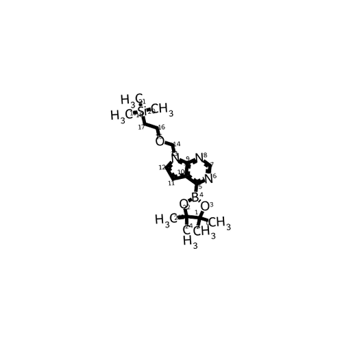 CC1(C)OB(c2ncnc3c2ccn3COCC[Si](C)(C)C)OC1(C)C